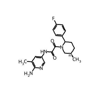 Cc1cc(NC(=O)C(=O)N2C[C@H](C)CCC2c2ccc(F)cc2)cnc1N